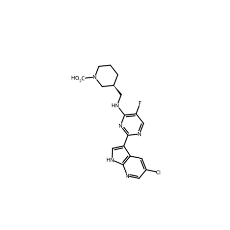 O=C(O)N1CCC[C@@H](CNc2nc(-c3c[nH]c4ncc(Cl)cc34)ncc2F)C1